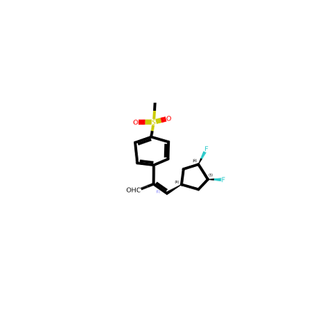 CS(=O)(=O)c1ccc(/C(C=O)=C\[C@H]2C[C@@H](F)[C@@H](F)C2)cc1